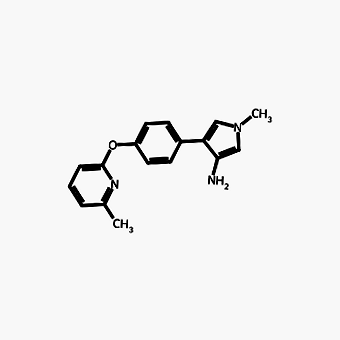 Cc1cccc(Oc2ccc(-c3cn(C)cc3N)cc2)n1